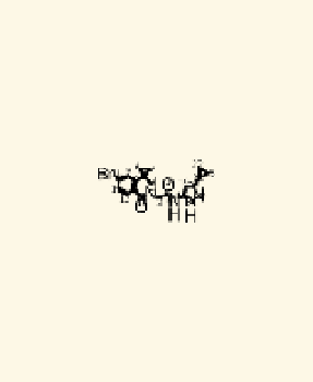 O=C(CN1CC2(CC2)c2cc(Br)ccc2C1=O)Nc1cc(C2CC2)n[nH]1